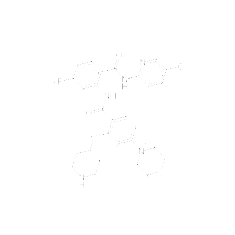 O=C(Nc1ccc(Cl)cn1)c1ccc(F)cc1NC(=O)c1ccc(N2CCOCC2)cc1OC1CCNCC1